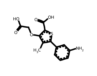 Cc1c(-c2cccc(N)c2)sc(C(=O)O)c1OCC(=O)O